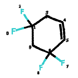 FC1(F)[CH]C=CC(F)(F)C1